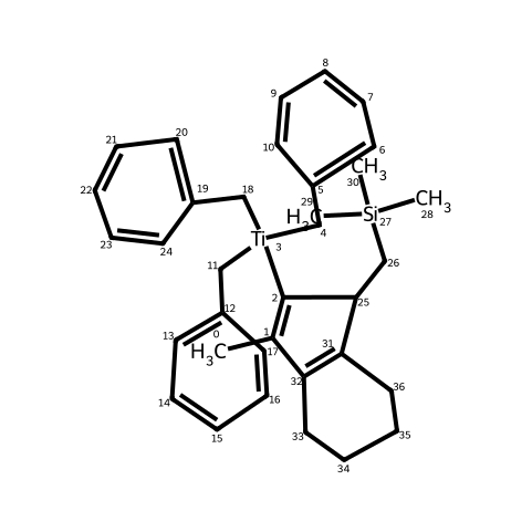 CC1=[C]([Ti]([CH2]c2ccccc2)([CH2]c2ccccc2)[CH2]c2ccccc2)C(C[Si](C)(C)C)C2=C1CCCC2